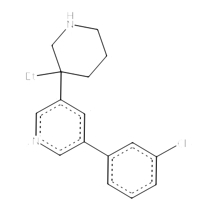 C[CH]C1(c2cncc(-c3cccc(Cl)c3)c2)CCCNC1